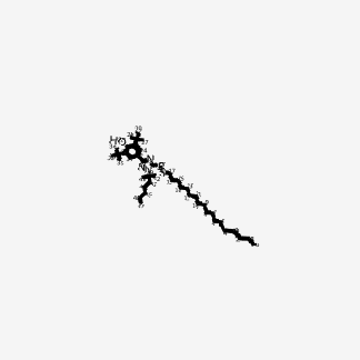 CCCCCCCCCCCCCCCCCCSSc1nc(-c2cc(C(C)(C)C)c(O)c(C(C)(C)C)c2)nn1C(C)(C)CCCCC